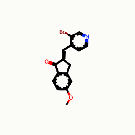 COc1ccc2c(c1)C/C(=C\c1ccncc1Br)C2=O